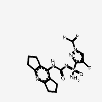 NS(=O)(=NC(=O)Nc1c2c(nc3c1CCC3)CCC2)c1nn(C(F)F)cc1F